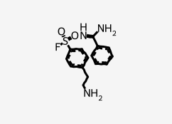 N=C(N)c1ccccc1.NCCc1ccc(S(=O)(=O)F)cc1